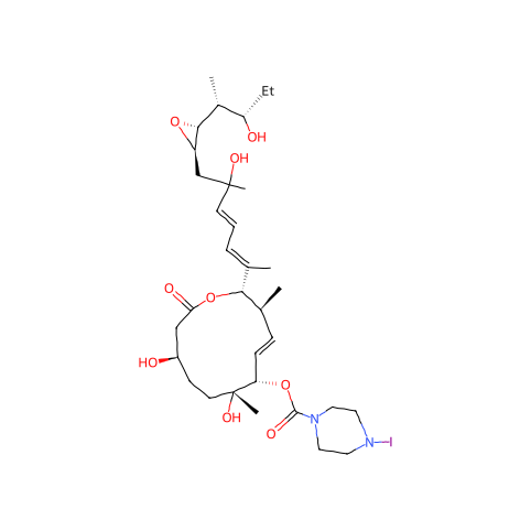 CC[C@H](O)[C@@H](C)[C@H]1O[C@@H]1CC(C)(O)/C=C/C=C(\C)[C@H]1OC(=O)C[C@H](O)CC[C@@](C)(O)[C@@H](OC(=O)N2CCN(I)CC2)/C=C/[C@@H]1C